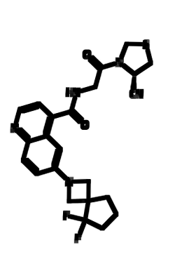 N#C[C@@H]1CSCN1C(=O)CNC(=O)c1ccnc2ccc(N3CC4(CCCC4(F)F)C3)cc12